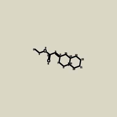 CCOC(=O)/C=C1\CCN2CCCCC2C1